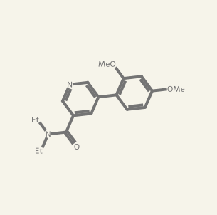 CCN(CC)C(=O)c1cncc(-c2ccc(OC)cc2OC)c1